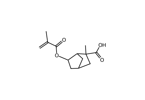 C=C(C)C(=O)OC1CC2CC1C(C)(C(=O)O)C2